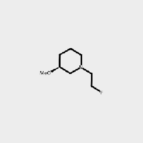 CO[C@H]1CCCN(CCF)C1